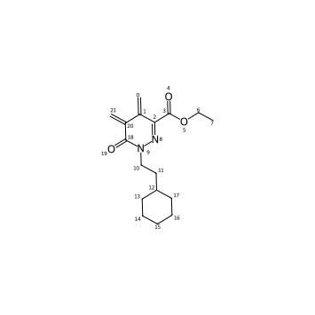 C=c1c(C(=O)OCC)nn(CCC2CCCCC2)c(=O)c1=C